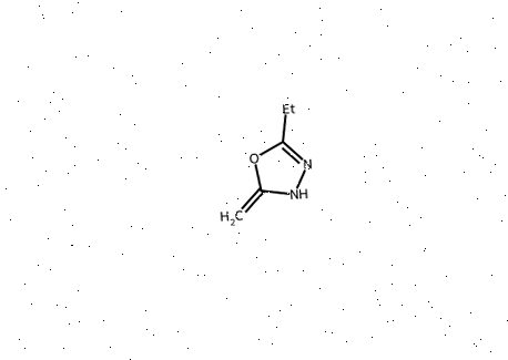 C=C1NN=C(CC)O1